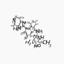 Cc1noc(C)c1NC(=O)NC1c2ccccc2-c2c(-c3nc4ccncc4[nH]3)cccc21